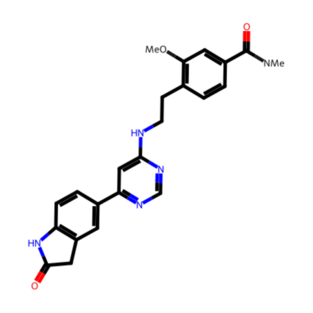 CNC(=O)c1ccc(CCNc2cc(-c3ccc4c(c3)CC(=O)N4)ncn2)c(OC)c1